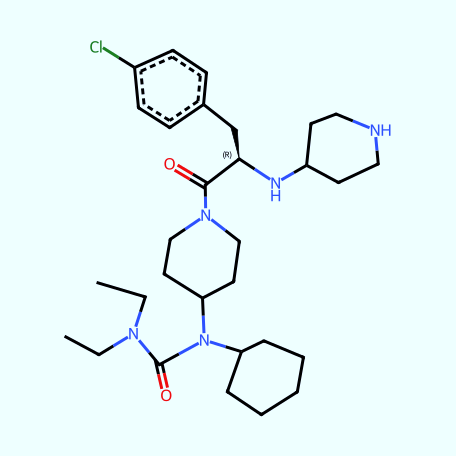 CCN(CC)C(=O)N(C1CCCCC1)C1CCN(C(=O)[C@@H](Cc2ccc(Cl)cc2)NC2CCNCC2)CC1